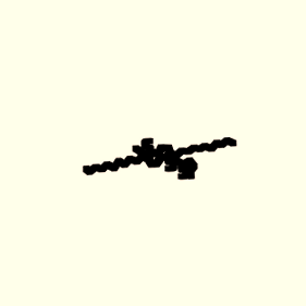 CCCCCCCCCCc1c(C)sc2c1ccc1c2ccc2c(CCCCCCCCCC)c(-c3ccc(C)s3)sc21